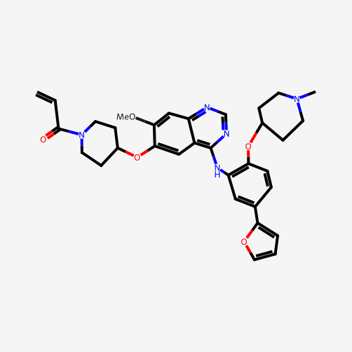 C=CC(=O)N1CCC(Oc2cc3c(Nc4cc(-c5ccco5)ccc4OC4CCN(C)CC4)ncnc3cc2OC)CC1